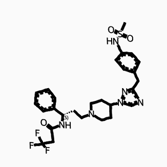 CS(=O)(=O)Nc1ccc(Cc2ncn(C3CCN(CC[C@H](NC(=O)CC(F)(F)F)c4ccccc4)CC3)n2)cc1